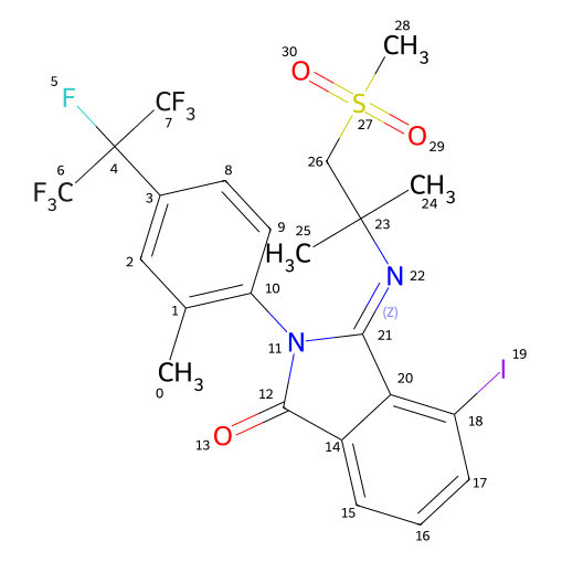 Cc1cc(C(F)(C(F)(F)F)C(F)(F)F)ccc1N1C(=O)c2cccc(I)c2/C1=N/C(C)(C)CS(C)(=O)=O